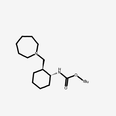 CC(C)(C)OC(=O)N[C@@H]1CCCC[C@H]1CN1CCCCCC1